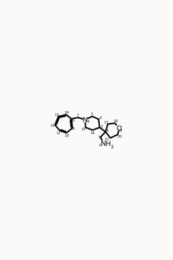 NCC1(C2CCN(CC3=CC=CC=C=C3)CC2)CCOCC1